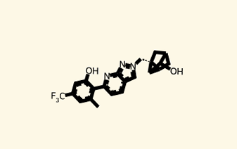 Cc1cc(C(F)(F)F)cc(O)c1-c1ccc2cn(C[C@]34CC5CC3C4C5O)nc2n1